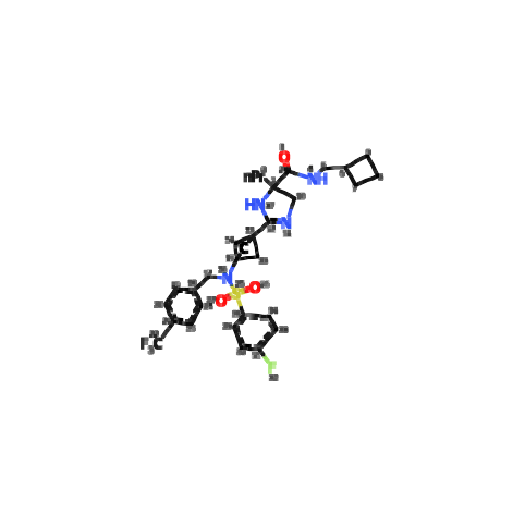 CCCC1(C(=O)NCC2CCC2)CN=C(C23CC(N(Cc4ccc(C(F)(F)F)cc4)S(=O)(=O)c4ccc(F)cc4)(C2)C3)N1